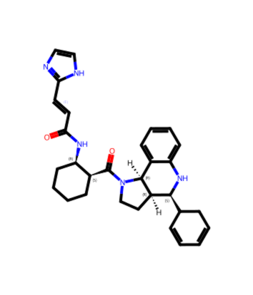 O=C(/C=C/c1ncc[nH]1)N[C@@H]1CCCC[C@@H]1C(=O)N1CC[C@@H]2[C@H](C3C=CC=CC3)Nc3ccccc3[C@@H]21